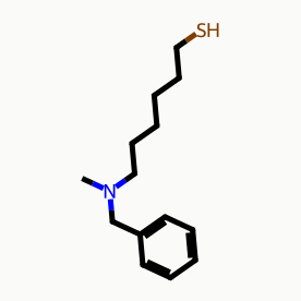 CN(CCCCCCS)Cc1ccccc1